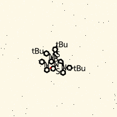 CC(C)(C)c1ccc(N2c3ccc4c(c3)N(c3ccccc3Sc3ccccc32)c2cc(N(c3ccccc3)c3ccccc3)cc3c2B4c2sc4cc(C(C)(C)C)ccc4c2N3c2ccc(C(C)(C)C)cc2)cc1